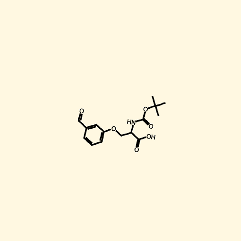 CC(C)(C)OC(=O)NC(COc1cccc(C=O)c1)C(=O)O